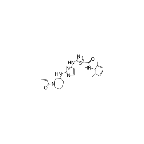 C=CC(=O)N1CCCCC(Nc2nccc(Nc3ncc(C(=O)Nc4c(C)cccc4C)s3)n2)C1